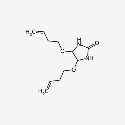 C=CCCOC1NC(=O)NC1OCCC=C